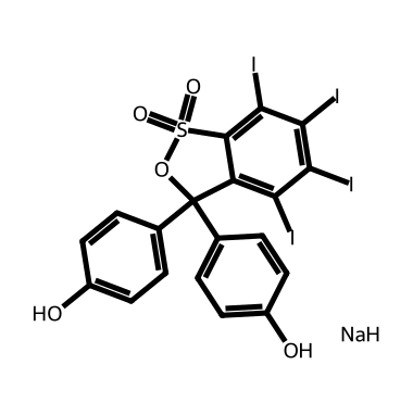 O=S1(=O)OC(c2ccc(O)cc2)(c2ccc(O)cc2)c2c(I)c(I)c(I)c(I)c21.[NaH]